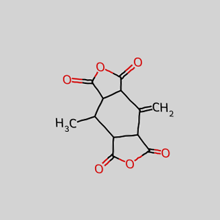 C=C1C2C(=O)OC(=O)C2C(C)C2C(=O)OC(=O)C12